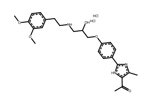 COc1ccc(CCNCC(O)COc2ccc(-c3nc(C)c(C(C)=O)[nH]3)cc2)cc1OC.Cl.Cl